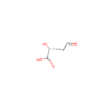 O=[C]CC(O)C(=O)O